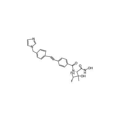 CC(O)(C(F)F)[C@H](NC(=O)c1ccc(C#Cc2ccc(Cn3ccnc3)cc2)cc1)C(=O)NO